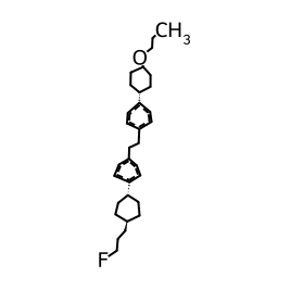 CCCO[C@H]1CC[C@H](c2ccc(CCc3ccc([C@H]4CC[C@H](CCCF)CC4)cc3)cc2)CC1